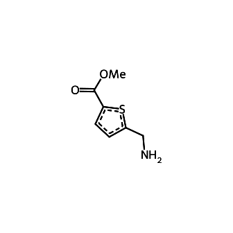 COC(=O)c1ccc(CN)s1